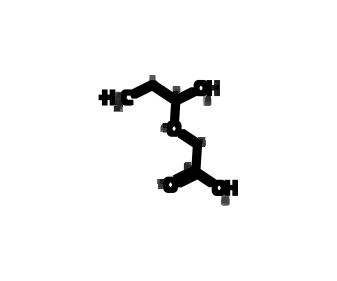 [CH2]CC(O)OCC(=O)O